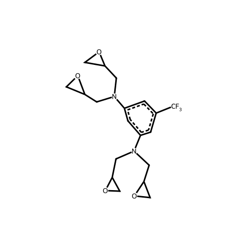 FC(F)(F)c1cc(N(CC2CO2)CC2CO2)cc(N(CC2CO2)CC2CO2)c1